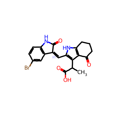 CC(C(=O)O)c1c(/C=C2\C(=O)Nc3ccc(Br)cc32)[nH]c2c1C(=O)CCC2